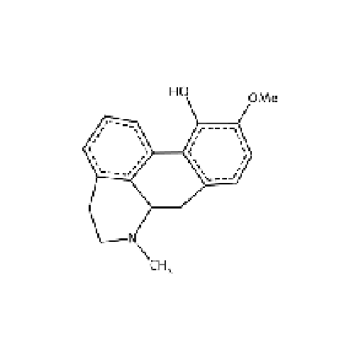 COc1ccc2c(c1O)-c1cccc3c1C(C2)N(C)CC3